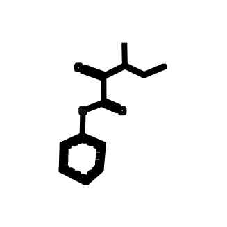 CCC(C)C(=O)C(=O)Oc1ccccc1